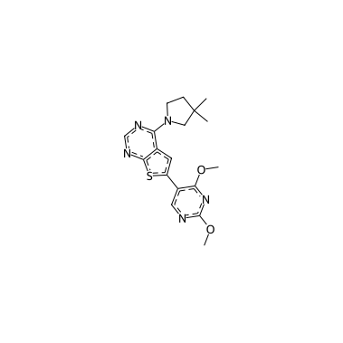 COc1ncc(-c2cc3c(N4CCC(C)(C)C4)ncnc3s2)c(OC)n1